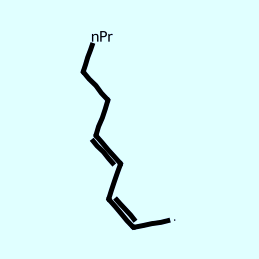 [CH2]/C=C\C=CCCCCC